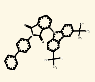 CC(C)(C)c1ccc2c(c1)c1cc(C(C)(C)C)ccc1n2-c1cccc2c1C(=O)N(c1ccc(-c3ccccc3)cc1)C2=O